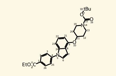 CCOC(=O)c1ccc(-n2ccc3c(OC4CCN(C(=O)OC(C)(C)C)CC4)cccc32)cc1